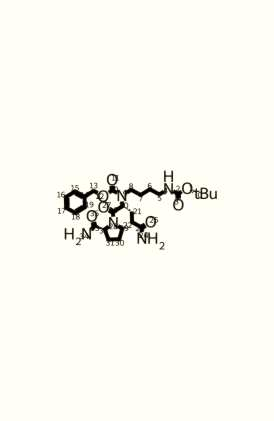 CC(C)(C)OC(=O)NCCCCN(C(=O)OCc1ccccc1)[C@H](CCC(N)=O)C(=O)N1CCC[C@H]1C(N)=O